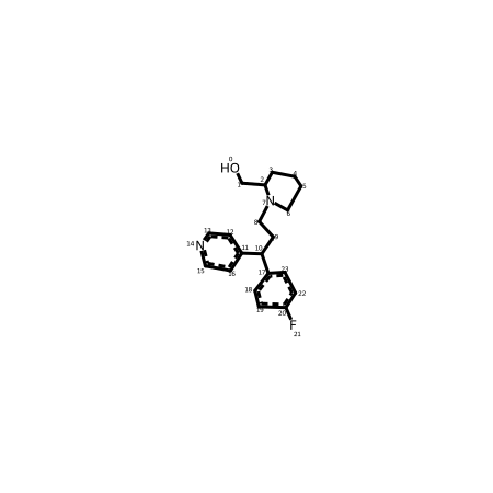 OCC1CCCCN1C[CH]C(c1ccncc1)c1ccc(F)cc1